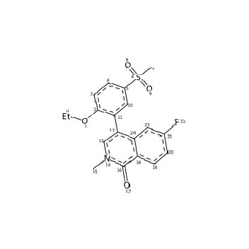 CCOc1ccc(S(C)(=O)=O)cc1-c1cn(C)c(=O)c2ccc(F)cc12